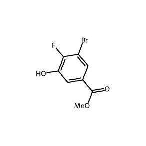 COC(=O)c1cc(O)c(F)c(Br)c1